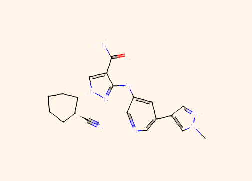 Cn1cc(-c2cncc(Nc3nn([C@H]4CCCC[C@@H]4C#N)cc3C(N)=O)c2)cn1